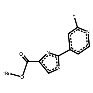 CC(C)(C)OC(=O)c1csc(-c2ccnc(F)c2)n1